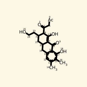 CC(=O)CC(=O)C1C(O)=C2C(=O)c3c(cc(C)c(C)c3O)CC2CC1CCO